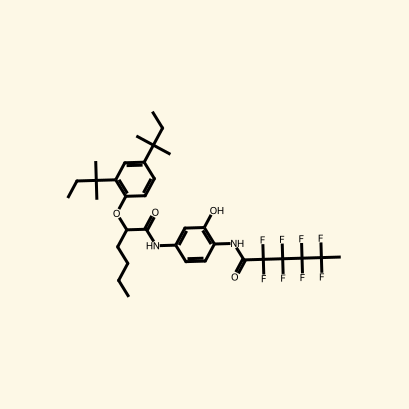 CCCCC(Oc1ccc(C(C)(C)CC)cc1C(C)(C)CC)C(=O)Nc1ccc(NC(=O)C(F)(F)C(F)(F)C(F)(F)C(C)(F)F)c(O)c1